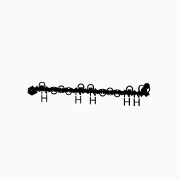 CCN(CCNCCC(=O)NCCCOCCOCCOCCCNC(=O)CCCC(=O)NCCCOCCOCCOCCCNC(=O)CCN1CCCCC1)C(=O)OC(C)(C)C